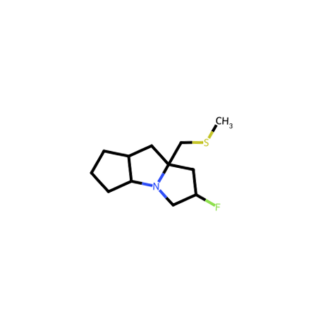 CSCC12CC(F)CN1C1CCCC1C2